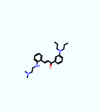 CCCN(CCC)c1cccc(C(=O)/C=C/c2ccccc2NCCN(C)C)c1